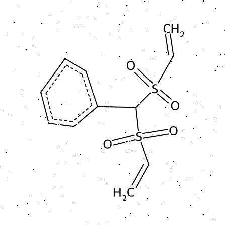 C=CS(=O)(=O)C(c1ccccc1)S(=O)(=O)C=C